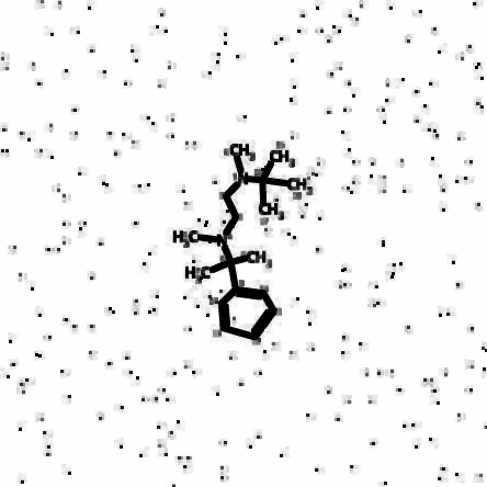 CN(CCN(C)C(C)(C)c1ccccc1)C(C)(C)C